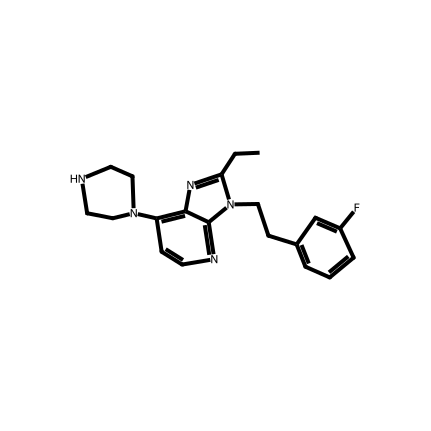 CCc1nc2c(N3CCNCC3)ccnc2n1CCc1cccc(F)c1